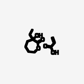 C=CC(=O)O.CCC1(O)CCCCOC1=O